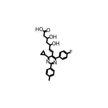 Cc1ccc(-c2nc(-c3ccc(F)cc3)c(/C=C/C(O)CC(O)CC(=O)O)c(C3CC3)n2)cc1